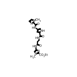 CCOC(=O)c1nc(NC(=O)CCNC(=O)c2cc(NC(=O)c3nccn3C)c[nH]2)cn1C